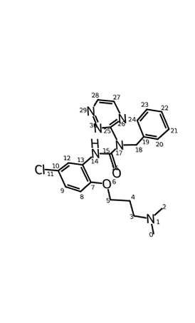 CN(C)CCCOc1ccc(Cl)cc1NC(=O)N(Cc1ccccc1)c1nccnn1